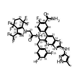 Cc1cc(Nc2nc3nc(C(Cc4cc(F)cc(F)c4)NC(=O)Cn4nc(C(F)F)c5c4C(F)(F)CCC5(F)F)c(-c4ccc(F)c(C(N)=O)c4)cc3s2)n[nH]1